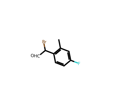 Cc1cc(F)ccc1C(Br)C=O